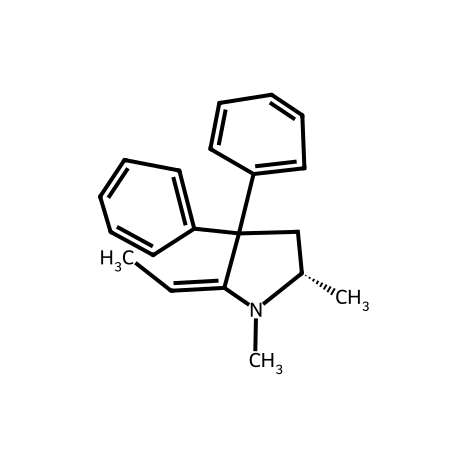 C/C=C1/N(C)[C@@H](C)CC1(c1ccccc1)c1ccccc1